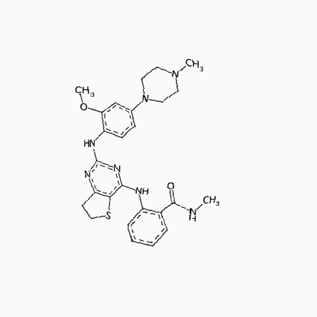 CNC(=O)c1ccccc1Nc1nc(Nc2ccc(N3CCN(C)CC3)cc2OC)nc2c1SCC2